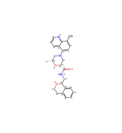 C[C@@H]1CN(c2ccc(C#N)c3ncccc23)C[C@H](C(=O)NCC2OCCc3ccccc32)O1